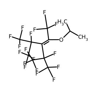 CC(C)OC(=C(C(F)(C(F)(F)F)C(F)(F)F)C(F)(C(F)(F)F)C(F)(F)F)C(F)(F)F